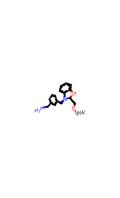 CC(=O)NOCC1Oc2ccccc2N1Cc1cccc(CN)c1